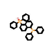 O=P(c1ccccc1)(c1ccccc1)c1cccc2c(P(c3ccccc3)c3ccccc3)cccc12